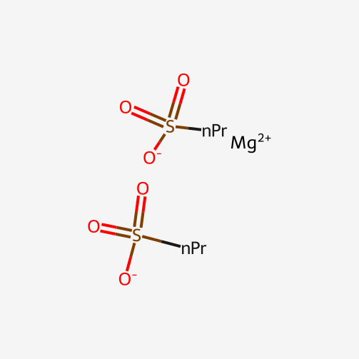 CCCS(=O)(=O)[O-].CCCS(=O)(=O)[O-].[Mg+2]